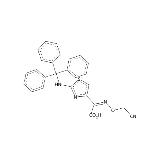 N#CCO/N=C(\C(=O)O)c1csc(NC(c2ccccc2)(c2ccccc2)c2ccccc2)n1